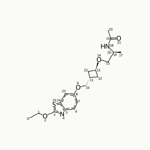 CCOc1nc2ccc(OC[C@H]3C[C@H](OC[C@H](C)NC(C)=O)C3)cc2s1